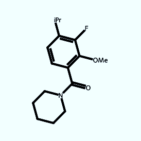 COc1c(C(=O)N2CCCCC2)ccc(C(C)C)c1F